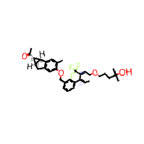 C/C=C(\C(=C/COCCCC(C)(C)O)C(F)(F)F)c1cccc(COc2cc3c(cc2C)[C@H]2[C@@H](C3)[C@@H]2C(C)=O)c1